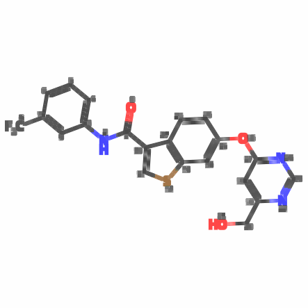 O=C(Nc1cccc(C(F)(F)F)c1)c1csc2cc(Oc3cc(CO)ncn3)ccc12